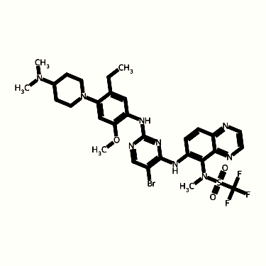 CCc1cc(Nc2ncc(Br)c(Nc3ccc4nccnc4c3N(C)S(=O)(=O)C(F)(F)F)n2)c(OC)cc1N1CCC(N(C)C)CC1